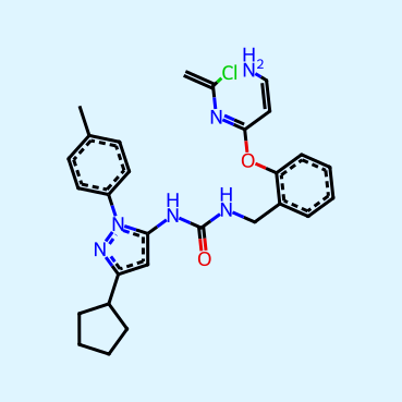 C=C(Cl)/N=C(\C=C/N)Oc1ccccc1CNC(=O)Nc1cc(C2CCCC2)nn1-c1ccc(C)cc1